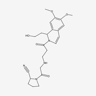 COc1cc2c(cc1OC)C(CCO)N(C(=O)CCNCC(=O)N1CCCC1C#N)C=C2